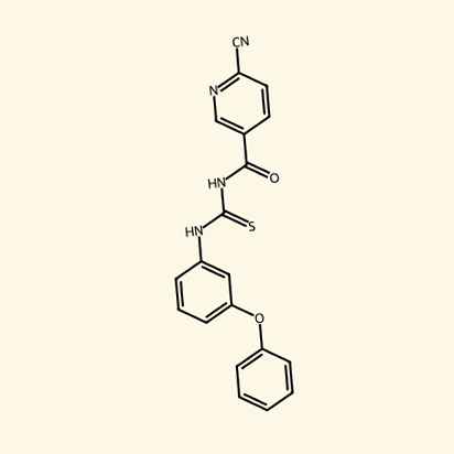 N#Cc1ccc(C(=O)NC(=S)Nc2cccc(Oc3ccccc3)c2)cn1